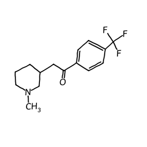 CN1CCCC(CC(=O)c2ccc(C(F)(F)F)cc2)C1